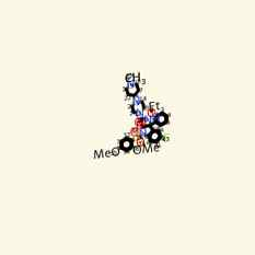 CCOc1ccccc1C1(NC(=O)N2CCN(C3CCN(C)CC3)CC2)C(=O)N(S(=O)(=O)c2ccc(OC)cc2OC)c2ccc(F)cc21